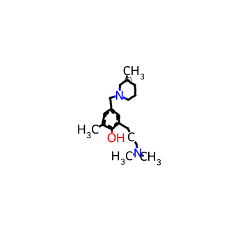 Cc1cc(CN2CCC[C@H](C)C2)cc(CCCN(C)C)c1O